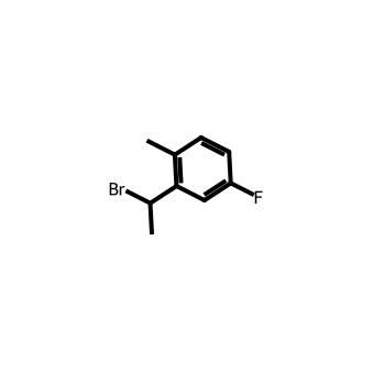 Cc1ccc(F)cc1C(C)Br